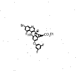 CCOC(=O)C#Cc1cc(Nc2c(S(=O)(=O)C3CC3)cnc3cc(Br)cc(F)c23)cc(Oc2cc(F)cc(F)c2)c1